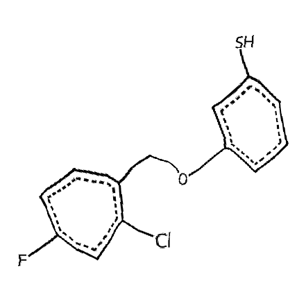 Fc1ccc(COc2cccc(S)c2)c(Cl)c1